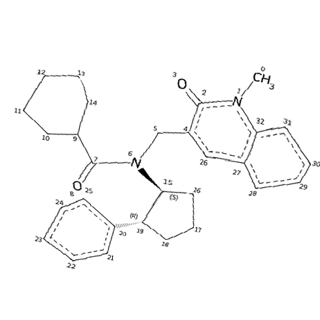 Cn1c(=O)c(CN(C(=O)C2CCCCC2)[C@H]2CCC[C@@H]2c2ccccc2)cc2ccccc21